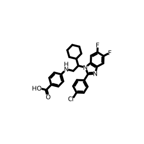 O=C(O)c1ccc(NCC(C2CCCCC2)n2c(-c3ccc(Cl)cc3)nc3cc(F)c(F)cc32)cc1